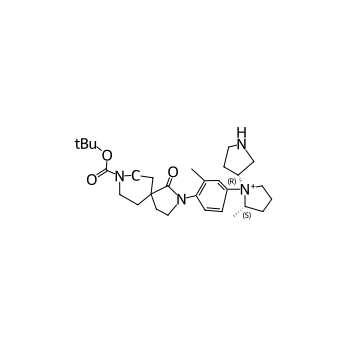 Cc1cc([N+]2([C@@H]3CCNC3)CCC[C@@H]2C)ccc1N1CCC2(CCN(C(=O)OC(C)(C)C)CC2)C1=O